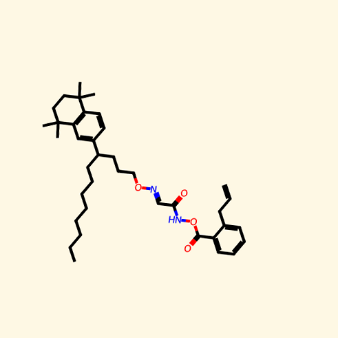 C=CCc1ccccc1C(=O)ONC(=O)C=NOCCCC(CCCCCCCC)c1ccc2c(c1)C(C)(C)CCC2(C)C